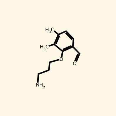 Cc1ccc(C=O)c(OCCCN)c1C